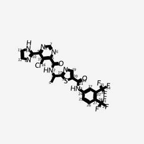 CC(NC(=O)c1ncnc(-c2ncc[nH]2)c1Cl)c1ncc(C(=O)Nc2ccc(C(F)(F)F)c(C(F)(F)F)c2)s1